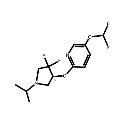 CC(C)N1C[C@H](Oc2ccc(OC(F)F)cn2)C(F)(F)C1